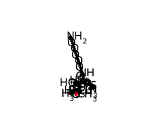 Cc1ncsc1-c1ccc([C@H](CC(=O)NCCOCCOCCOCCOCCOCCN)NC(=O)[C@@H]2C[C@@H](O)CN2C(=O)C(NC(=O)C2(F)CC2)C(C)(C)C)cc1